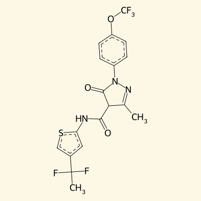 CC1=NN(c2ccc(OC(F)(F)F)cc2)C(=O)C1C(=O)Nc1cc(C(C)(F)F)cs1